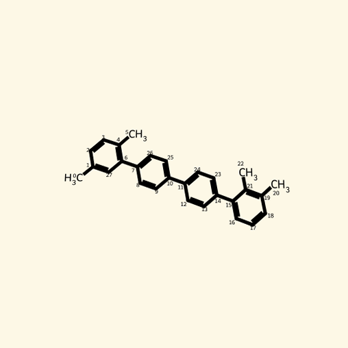 Cc1ccc(C)c(-c2ccc(-c3ccc(-c4cccc(C)c4C)cc3)cc2)c1